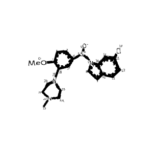 COc1ccc([S+]([O-])n2ccc3ccc(Cl)cc32)cc1N1CCN(C)CC1